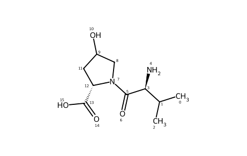 CC(C)[C@H](N)C(=O)N1CC(O)C[C@H]1C(=O)O